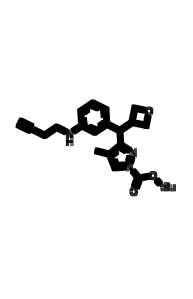 C#CCCNc1cccc(C(c2nn(C(=O)OC(C)(C)C)cc2C)C2COC2)c1